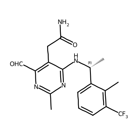 Cc1nc(C=O)c(CC(N)=O)c(N[C@H](C)c2cccc(C(F)(F)F)c2C)n1